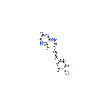 Clc1ccc(C#Cc2cnc3nccnc3c2)cc1